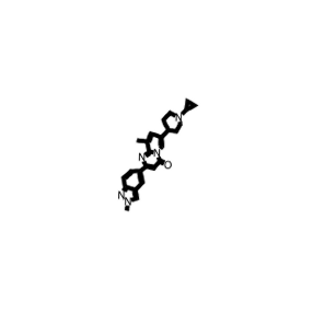 Cc1cc(C2CCN(C3CC3)CC2)cn2c(=O)cc(-c3ccc4nn(C)cc4c3)nc12